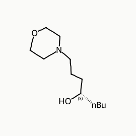 CCCC[C@H](O)CCCN1CCOCC1